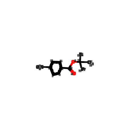 CCC(OC(=O)c1ccc([N+](=O)[O-])cc1)(C(C)C)C(F)(F)F